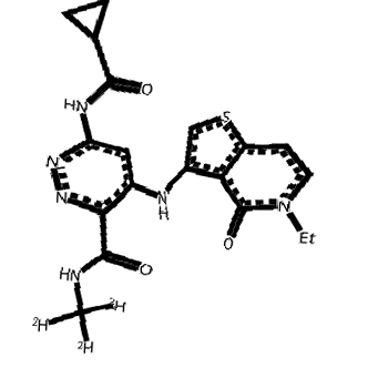 [2H]C([2H])([2H])NC(=O)c1nnc(NC(=O)C2CC2)cc1Nc1csc2ccn(CC)c(=O)c12